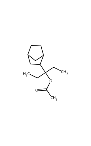 CCC(CC)(OC(C)=O)C1CC2CCC1C2